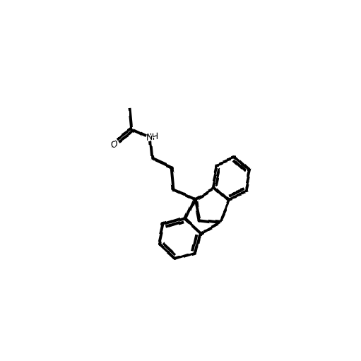 CC(=O)NCCCC12CC(c3ccccc31)c1ccccc12